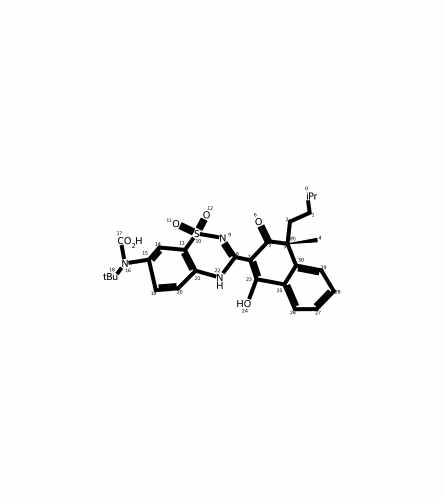 CC(C)CC[C@@]1(C)C(=O)C(C2=NS(=O)(=O)c3cc(N(C(=O)O)C(C)(C)C)ccc3N2)=C(O)c2ccccc21